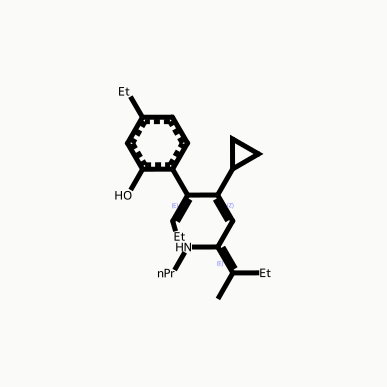 CC\C=C(/C(=C\C(NCCC)=C(\C)CC)C1CC1)c1ccc(CC)cc1O